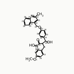 COc1ccc(CC(C(=O)NO)C(O)c2ccc(OCc3cc(C)nc4ccccc34)cc2)cc1